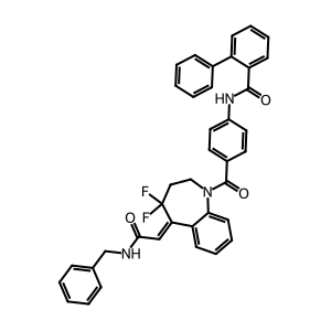 O=C(/C=C1/c2ccccc2N(C(=O)c2ccc(NC(=O)c3ccccc3-c3ccccc3)cc2)CCC1(F)F)NCc1ccccc1